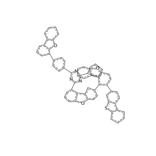 c1ccc(-c2nc(-c3ccc(-c4cccc5c4oc4ccccc45)cc3)nc(-c3cccc4oc5ccc(-c6c(-c7ccc8c(c7)sc7ccccc78)ccc7oc8ccccc8c67)cc5c34)n2)cc1